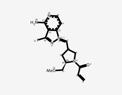 C=CC(=O)N1CC(/C=[N+]2\N=C(I)c3c2ccnc3N)C[C@@H]1COC